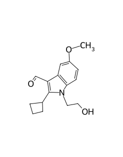 COc1ccc2c(c1)c(C=O)c(C1CCC1)n2CCO